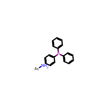 CC(N)=O.c1ccc(P(c2ccccc2)c2ccccc2)cc1